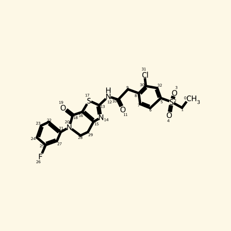 CCS(=O)(=O)c1ccc(CC(=O)Nc2nc3c(s2)C(=O)N(c2cccc(F)c2)CC3)c(Cl)c1